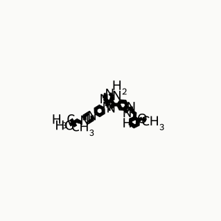 COc1ccccc1Cc1nc2ccc(-c3nn(C4CCC(N5CCN(CCC(C)(C)O)CC5)CC4)c4ncnc(N)c34)cc2[nH]1